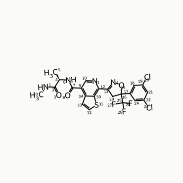 CNC(=O)[C@@H](C)NC(=O)c1cnc(C2=NOC(c3cc(Cl)cc(Cl)c3)(C(F)(F)F)C2)c2sccc12